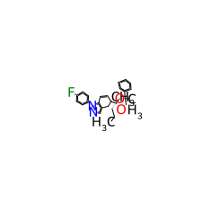 CCC[C@@]1([C@]2(C)C=Cc3c(cnn3-c3ccc(F)cc3)C2)OC[C@@](C)(c2ccccc2)O1